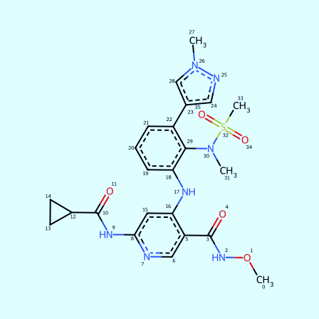 CONC(=O)c1cnc(NC(=O)C2CC2)cc1Nc1cccc(-c2cnn(C)c2)c1N(C)S(C)(=O)=O